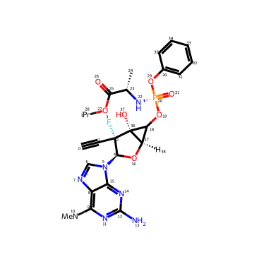 C#C[C@]1(F)[C@H](n2cnc3c(NC)nc(N)nc32)O[C@@H]2C(O[P@@](=O)(N[C@@H](C)C(=O)OC(C)C)Oc3ccccc3)[C@@]21O